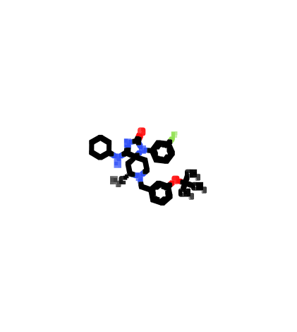 C[C@@H]1C[C@@]2(CCN1Cc1cccc(OC(C)(C)C)c1)C(NC1CCCCC1)=NC(=O)N2c1cccc(F)c1